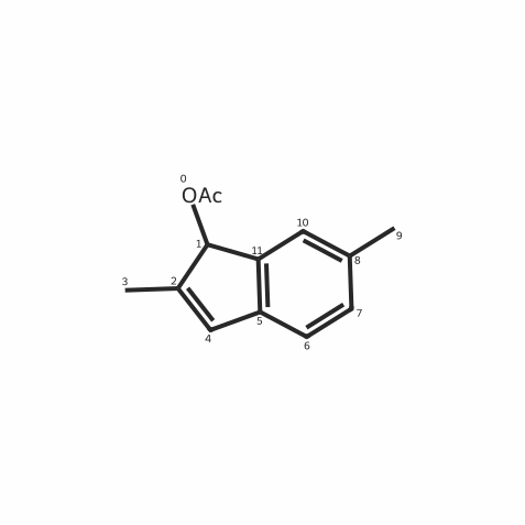 CC(=O)OC1C(C)=Cc2ccc(C)cc21